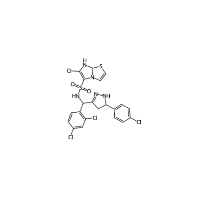 O=S(=O)(NC(C1=NNC(c2ccc(Cl)cc2)C1)c1ccc(Cl)cc1Cl)C1=C(Cl)NC2SC=CN12